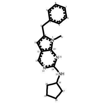 Cn1c(Cc2ccccc2)cc2cnc(NC3CCCC3)nc21